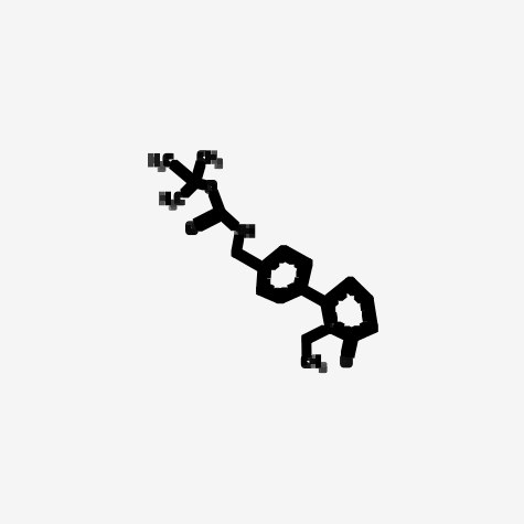 CCn1c(-c2ccc(CNC(=O)OC(C)(C)C)cc2)cccc1=O